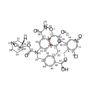 COc1ccc([C@H](Cc2c(Cl)c[n+]([O-])cc2Cl)c2cc(CN(C(=O)O[C@H]3CN4CCC3CC4)c3cccc(C(=O)N(C)C)c3)ccc2C(=O)O)cc1OC